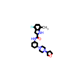 Cc1ccc(F)c2c1NC(C(=O)N[C@@H]1CCC[C@@H](N3CCN(C4CCOC4)CC3)C1)C2